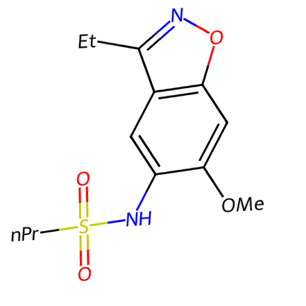 CCCS(=O)(=O)Nc1cc2c(CC)noc2cc1OC